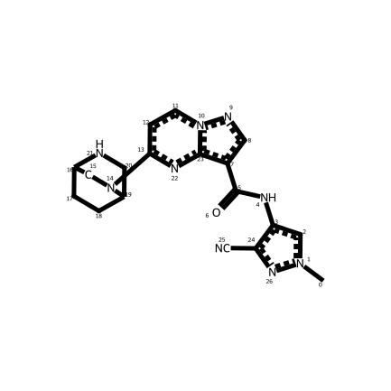 Cn1cc(NC(=O)c2cnn3ccc(N4CC5CCC4CN5)nc23)c(C#N)n1